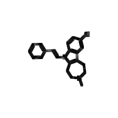 CN1CCc2c(n(C=Cc3ccccc3)c3ccc(Cl)cc23)CC1